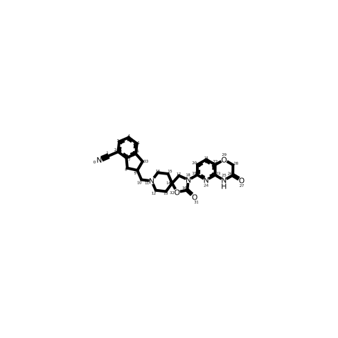 N#Cc1cccc2c1CC(CN1CCC3(CC1)CN(c1ccc4c(n1)NC(=O)CO4)C(=O)O3)C2